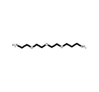 NCCCOCCOCCOCCN